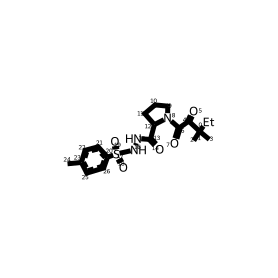 CCC(C)(C)C(=O)C(=O)N1CCCC1C(=O)NNS(=O)(=O)c1ccc(C)cc1